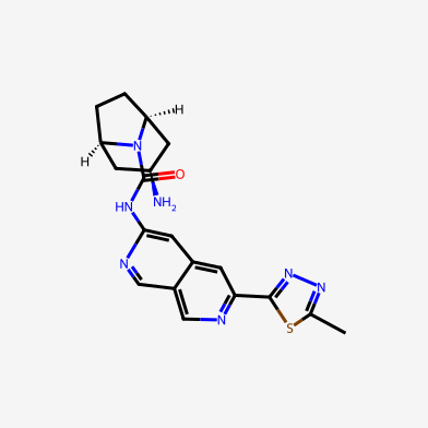 Cc1nnc(-c2cc3cc(NC(=O)N4[C@@H]5CC[C@H]4C[C@@H](N)C5)ncc3cn2)s1